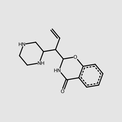 C=CC(C1CNCCN1)C1NC(=O)c2ccccc2O1